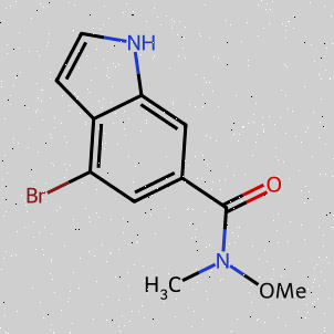 CON(C)C(=O)c1cc(Br)c2cc[nH]c2c1